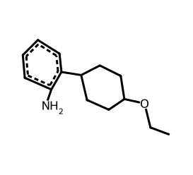 CCOC1CCC(c2ccccc2N)CC1